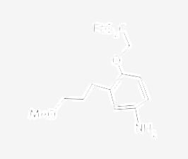 CCOC(=O)COc1ccc(N)cc1CCCOC